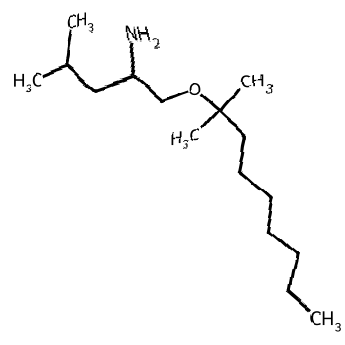 CCCCCCCC(C)(C)OCC(N)CC(C)C